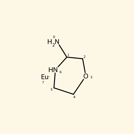 NC1COCCN1.[Eu]